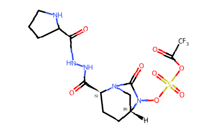 O=C(NNC(=O)[C@@H]1CC[C@@H]2CN1C(=O)N2OS(=O)(=O)OC(=O)C(F)(F)F)C1CCCN1